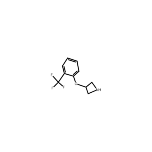 FC(F)(F)c1ccccc1OC1CNC1